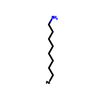 NCCCCCCC[CH2][Pd]